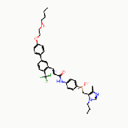 CCCCOCCOc1ccc(-c2ccc(C(F)(F)F)c(/C=C/C(=O)Nc3ccc([S@@+]([O-])Cc4c(C)ncn4CCC)cc3)c2)cc1